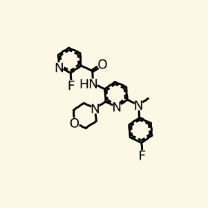 CN(c1ccc(F)cc1)c1ccc(NC(=O)c2cccnc2F)c(N2CCOCC2)n1